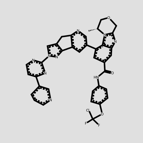 C[C@@H]1COCc2nc3cc(C(=O)Nc4ccc(OC(F)(F)Cl)cc4)cc(-c4cnc5c(c4)-c4nn(-c6nccc(-c7cccnc7)n6)cc4C5)c3n21